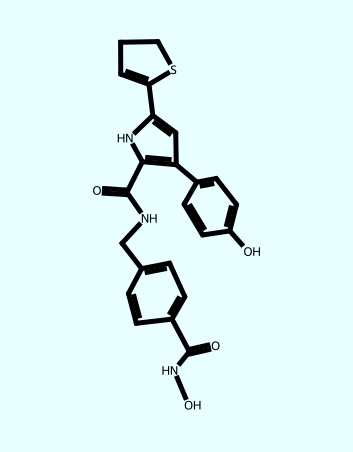 O=C(NO)c1ccc(CNC(=O)c2[nH]c(C3=CCCS3)cc2-c2ccc(O)cc2)cc1